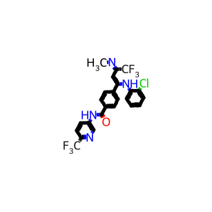 C/N=C(\C=C(/Nc1ccccc1Cl)c1ccc(C(=O)Nc2ccc(C(F)(F)F)nc2)cc1)C(F)(F)F